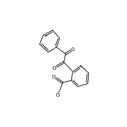 [O]C(=O)c1ccccc1C(=O)C(=O)c1ccccc1